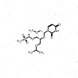 COC[C@@H](O[C@H](CONS(C)(=O)=O)COC(C)C)n1ccc(=O)[nH]c1=O